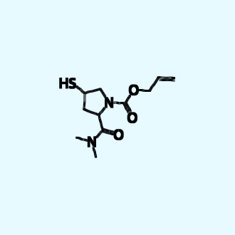 C=CCOC(=O)N1CC(S)CC1C(=O)N(C)C